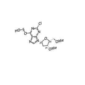 COC[C@H]1O[C@@H](n2cnc3c(OSO)nc(Cl)nc32)C[C@H]1OC